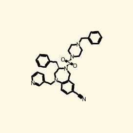 N#Cc1ccc2c(c1)CN(S(=O)(=O)N1CCN(Cc3ccccc3)CC1)[C@H](Cc1ccccc1)CN2Cc1cccnc1